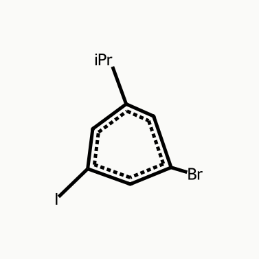 CC(C)c1cc(Br)cc(I)c1